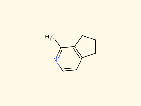 Cc1nccc2c1CCC2